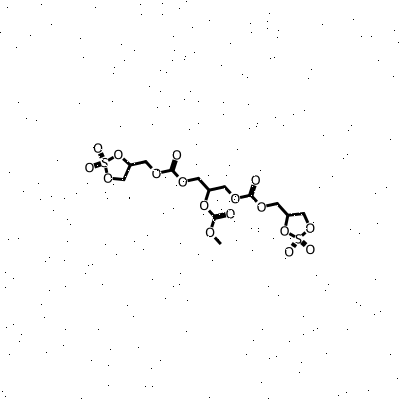 COC(=O)OC(COC(=O)OCC1COS(=O)(=O)O1)COC(=O)OCC1COS(=O)(=O)O1